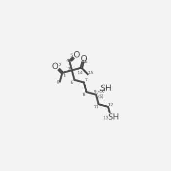 CC(=O)C([C]=O)(CCC[C@H](S)CCS)C(C)=O